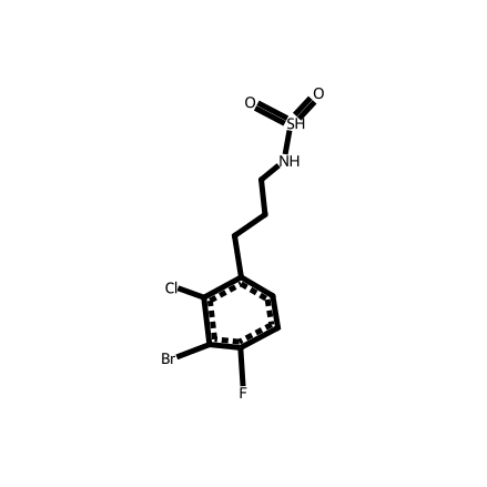 O=[SH](=O)NCCCc1ccc(F)c(Br)c1Cl